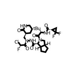 CC(C)(C)[C@H](NC(=O)[C@@H]1CC1(F)F)C(=O)N1C[C@@H]2CCC[C@@H]2[C@H]1C(=O)NN(C[C@@H]1CCCNC1=O)C(=O)[C@H](F)Cl